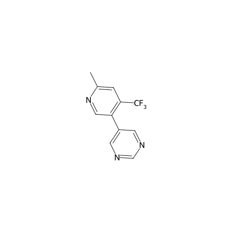 Cc1cc(C(F)(F)F)c(-c2cncnc2)cn1